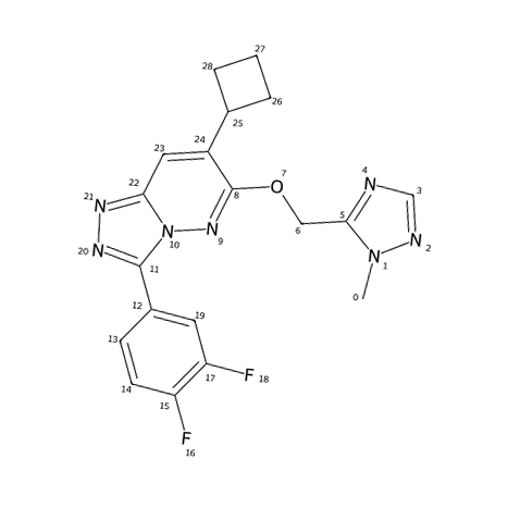 Cn1ncnc1COc1nn2c(-c3ccc(F)c(F)c3)nnc2cc1C1CCC1